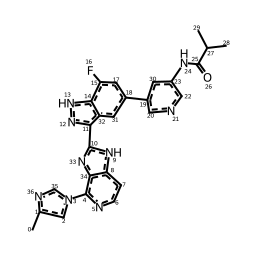 Cc1cn(-c2nccc3[nH]c(-c4n[nH]c5c(F)cc(-c6cncc(NC(=O)C(C)C)c6)cc45)nc23)cn1